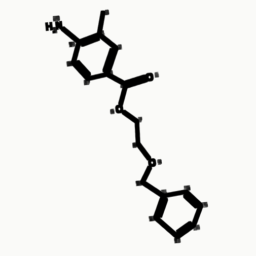 Cc1cc(C(=O)OCCOCc2ccccc2)ccc1N